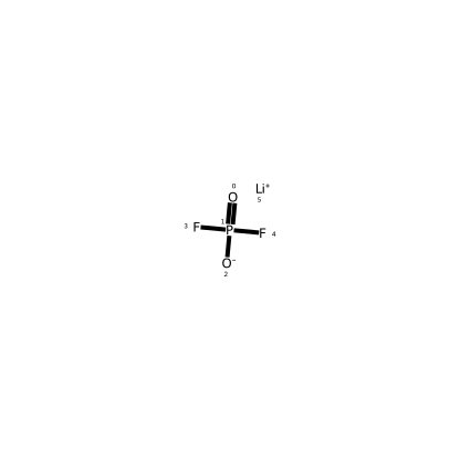 O=P([O-])(F)F.[Li+]